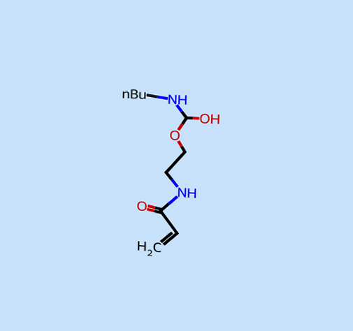 C=CC(=O)NCCOC(O)NCCCC